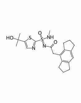 CNS(=O)(=NC(=O)Cc1c2c(cc3c1CCC3)CCC2)c1ncc(C(C)(C)O)s1